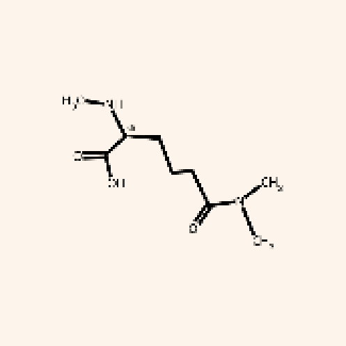 CN[C@@H](CCCC(=O)N(C)C)C(=O)O